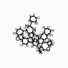 c1ccc(-c2nc(-c3cccc4oc5ccc(-c6ccc7c(c6)-c6cc8ccccc8cc6C76c7ccccc7Oc7ccccc76)cc5c34)c3sc4ccccc4c3n2)cc1